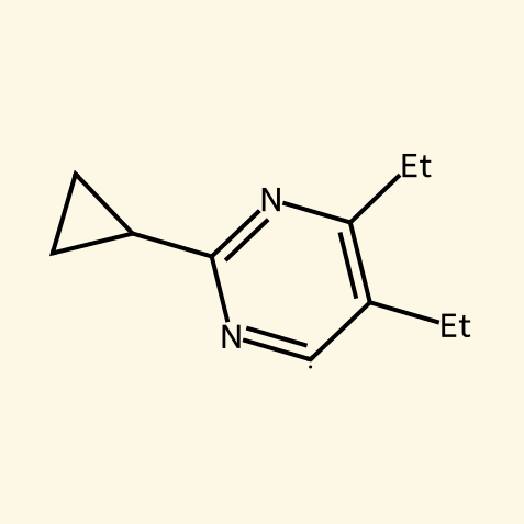 CCc1[c]nc(C2CC2)nc1CC